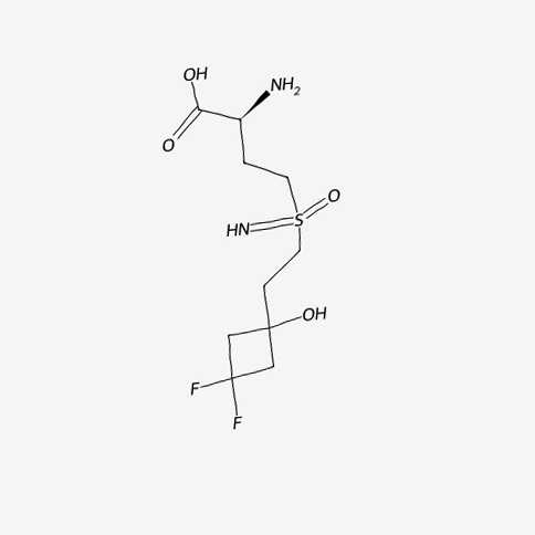 N=S(=O)(CC[C@H](N)C(=O)O)CCC1(O)CC(F)(F)C1